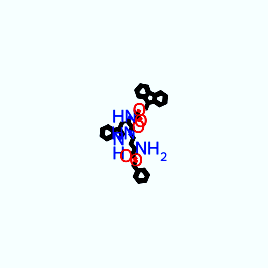 N[C@H](CCNC(=O)[C@@H](Cc1c[nH]c2ccccc12)NC(=O)OCC1c2ccccc2-c2ccccc21)C(=O)OCc1ccccc1